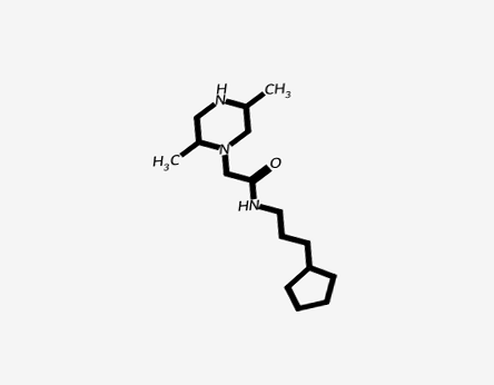 CC1CN(CC(=O)NCCCC2CCCC2)C(C)CN1